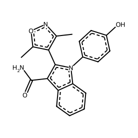 Cc1noc(C)c1-c1c(C(N)=O)c2ccccc2n1-c1ccc(O)cc1